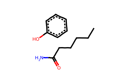 CCCCCC(N)=O.Oc1ccccc1